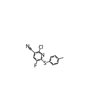 Cc1ccc(Sc2nc(Cl)c(C#N)cc2F)cc1